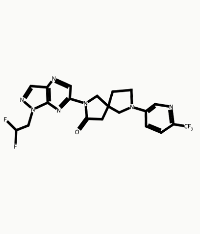 O=C1CC2(CCN(c3ccc(C(F)(F)F)nc3)C2)CN1c1cnc2cnn(CC(F)F)c2n1